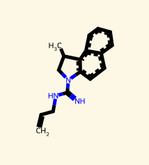 C=CCNC(=N)N1CC(C)c2c1ccc1ccccc21